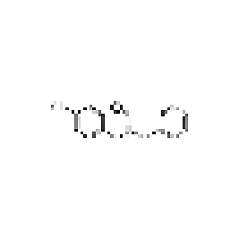 O=CN(Cc1ccccc1)Cc1ccc(Cl)cc1